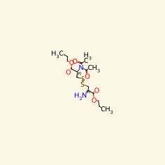 CCCOC(=O)[C@@H](N)CSSC[C@@H](C(=O)OCCC)N(C(C)=O)C(C)=O